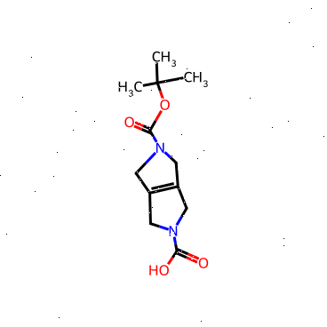 CC(C)(C)OC(=O)N1CC2=C(CN(C(=O)O)C2)C1